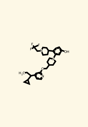 CCC(c1ccnc(OCC2CCN(c3cc(O)ccc3C3CCN(CC(F)(F)F)CC3)CC2)c1)C1CC1